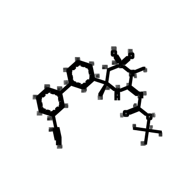 CN1/C(=N/C(=O)OC(C)(C)C)N[C@](C)(c2cccc(-c3cccc(C#N)c3)c2)CS1(=O)=O